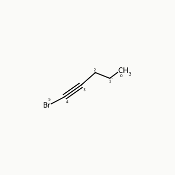 C[CH]CC#CBr